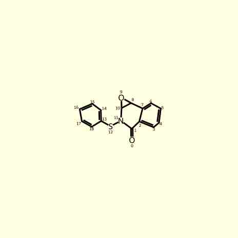 O=C1c2ccccc2C2OC2N1Sc1ccccc1